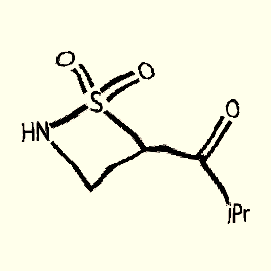 CC(C)C(=O)C1CNS1(=O)=O